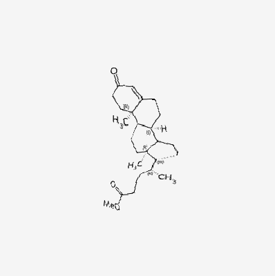 COC(=O)CC[C@@H](C)[C@H]1CCC2[C@@H]3CCC4=CC(=O)CC[C@]4(C)C3CC[C@@]21C